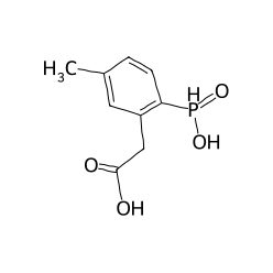 Cc1ccc([PH](=O)O)c(CC(=O)O)c1